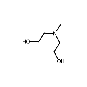 [CH]N(CCO)CCO